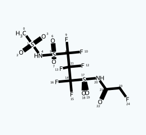 CS(=O)(=O)NS(=O)(=O)C(F)(F)C(F)(F)C(F)(F)S(=O)(=O)NC(=O)CF